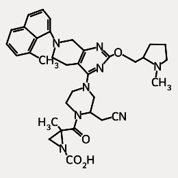 Cc1cccc2cccc(N3CCc4c(nc(OCC5CCCN5C)nc4N4CCN(C(=O)C5(C)CN5C(=O)O)C(CC#N)C4)C3)c12